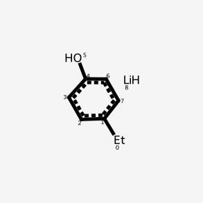 CCc1ccc(O)cc1.[LiH]